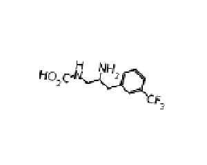 NC(CNC(=O)O)Cc1cccc(C(F)(F)F)c1